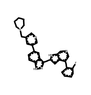 Fc1ccccc1-c1cncc2[nH]c(-c3n[nH]c4ccc(-c5cncc(CN6CCCCC6)c5)cc34)cc12